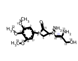 COc1cc(N2CC(N(N)/C=C(\N)CO)C2=O)cc(OC)c1OC